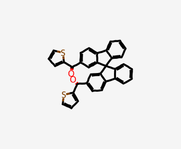 O=C(c1ccc2c(c1)C1(c3ccccc3-2)c2ccccc2-c2ccc(C(=O)c3cccs3)cc21)c1cccs1